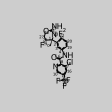 C[C@]1(c2cc(NC(=O)c3ncc(C(F)(F)F)cc3Cl)ccc2F)N=C(N)OC[C@H]1F